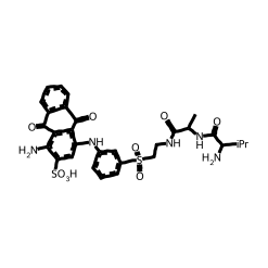 CC(NC(=O)C(N)C(C)C)C(=O)NCCS(=O)(=O)c1cccc(Nc2cc(S(=O)(=O)O)c(N)c3c2C(=O)c2ccccc2C3=O)c1